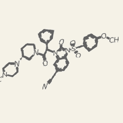 COc1ccc(S(=O)(=O)n2c(=O)n(C(C(=O)N3CCC[C@@H](N4CCN(C)CC4)C3)c3ccccc3)c3cc(C#N)ccc32)cc1